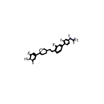 CCCc1c(F)cc(C2CCC(CCc3ccc(-c4ccc(/C(F)=C(\F)CC)cc4F)cc3F)CO2)cc1F